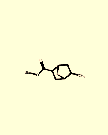 CC1CC2OC1CC2C(=O)OC(C)(C)C